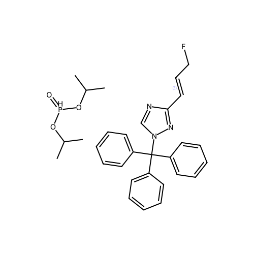 CC(C)O[PH](=O)OC(C)C.FC/C=C/c1ncn(C(c2ccccc2)(c2ccccc2)c2ccccc2)n1